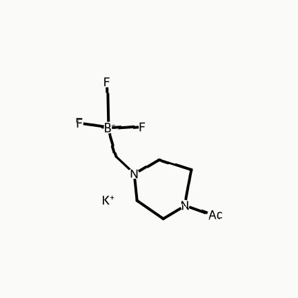 CC(=O)N1CCN(C[B-](F)(F)F)CC1.[K+]